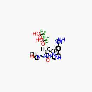 CO[C@@H]1CCN(CCN2C[C@H](C(C)C)N(c3ccn4ncc(-c5ccc(-c6nc[nH]n6)cc5)c4n3)C2=O)C1.O=C(O)C(F)(F)F.O=C(O)C(F)(F)F